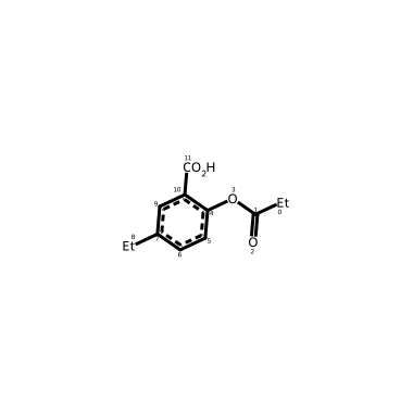 CCC(=O)Oc1ccc(CC)cc1C(=O)O